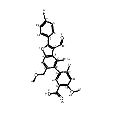 COCc1cc2oc(-c3ccc(F)cc3)c(C=O)c2c(F)c1-c1cc(C(=O)O)c(OC)cc1C